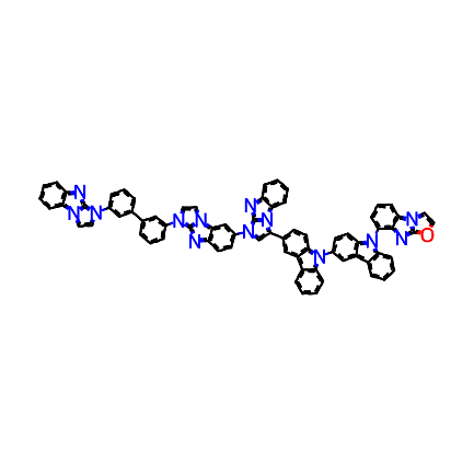 c1cc(-c2cccc(-n3ccn4c5cc(-n6cc(-c7ccc8c(c7)c7ccccc7n8-c7ccc8c(c7)c7ccccc7n8-c7cccc8c7nc7occn78)n7c8ccccc8nc67)ccc5nc34)c2)cc(-n2ccn3c4ccccc4nc23)c1